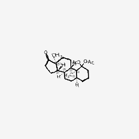 CC(=O)OC1(OC(C)=O)CCC[C@H]2CC[C@@H]3[C@H](CC[C@]4(C)C(=O)CC[C@@H]34)[C@]21C